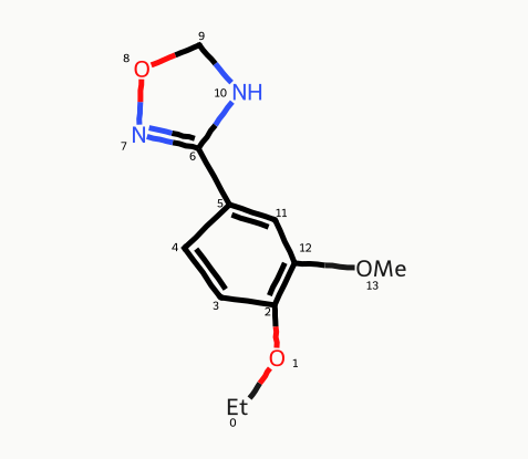 CCOc1ccc(C2=NOCN2)cc1OC